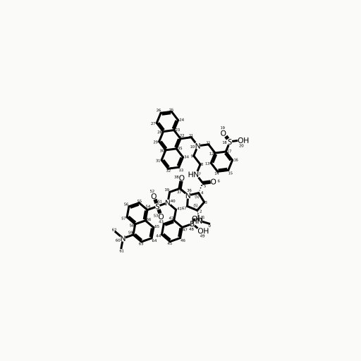 CN[C@H]1C[C@@H](C(=O)NCCN(Cc2ccccc2S(=O)O)Cc2c3ccccc3cc3ccccc23)N(C(=O)CN(Cc2ccccc2B(O)O)S(=O)(=O)c2cccc3c(N(C)C)cccc23)C1